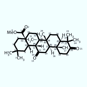 COC(=O)[C@]12CCC(C)(C)C[C@H]1[C@H]1C(=O)C[C@@H]3[C@@]4(C)CCC(=O)C(C)(C)[C@@H]4CC[C@@]3(C)[C@]1(C)CC2